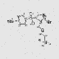 CC(C)(C)c1ccc(S(=O)(=O)c2cnc(Br)n2COCC[Si](C)(C)C)cc1